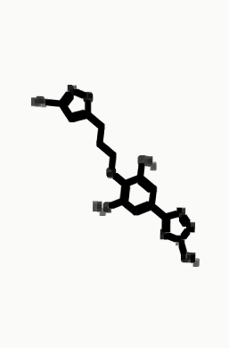 CCCc1cc(CCCOc2c(C)cc(-c3nnn(C)n3)cc2C)on1